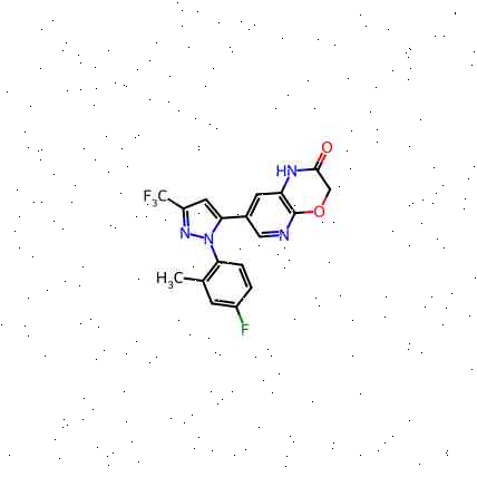 Cc1cc(F)ccc1-n1nc(C(F)(F)F)cc1-c1cnc2c(c1)NC(=O)CO2